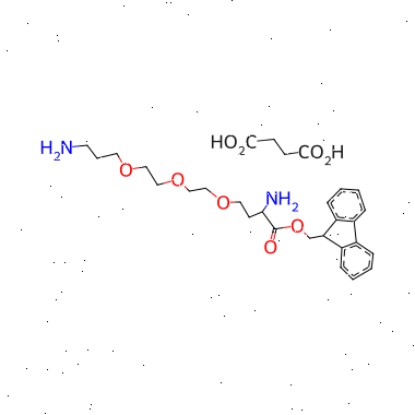 NCCCOCCOCCOCCC(N)C(=O)OCC1c2ccccc2-c2ccccc21.O=C(O)CCC(=O)O